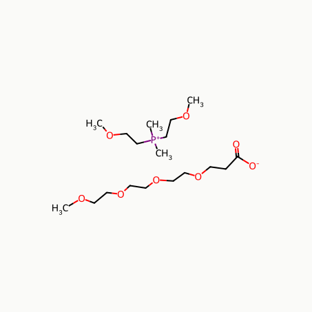 COCCOCCOCCOCCC(=O)[O-].COCC[P+](C)(C)CCOC